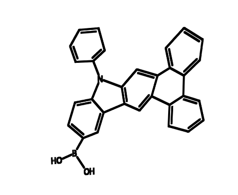 OB(O)c1ccc2c(c1)c1cc3c4ccccc4c4ccccc4c3cc1n2-c1ccccc1